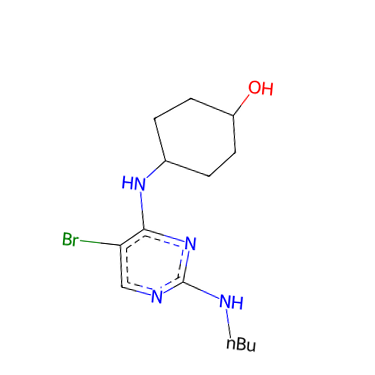 CCCCNc1ncc(Br)c(NC2CCC(O)CC2)n1